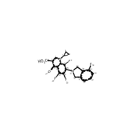 O=C(O)c1cn(C2CC2)c2c(F)c(N3Cc4cccc(F)c4C3)c(F)c(F)c2c1=O